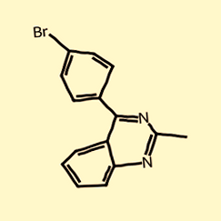 Cc1nc(-c2ccc(Br)cc2)c2ccccc2n1